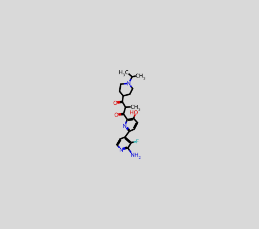 CC(C(=O)c1nc(-c2ccnc(N)c2F)ccc1O)C(=O)C1CCN(C(C)C)CC1